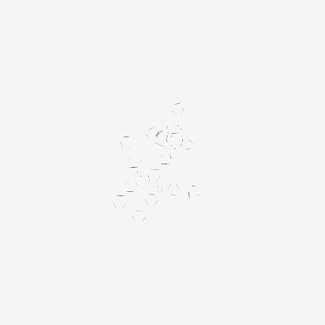 FC(F)(F)c1ccc(-n2c3ccccc3c3cc(-c4cc5c6c(c4)N(c4ccc(-c7ccccc7)cc4)c4ccc(-c7ccccc7)cc4B6c4cc(-c6ccccc6)ccc4N5c4ccc(-c5ccccc5)cc4)ccc32)c(-c2nc(-c3ccccc3)cc(-c3ccccc3)n2)c1